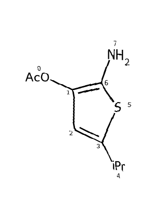 CC(=O)Oc1cc(C(C)C)sc1N